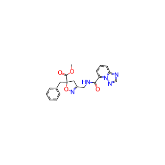 COC(=O)C1(Cc2ccccc2)CC(CNC(=O)c2cccc3ncnn23)=NO1